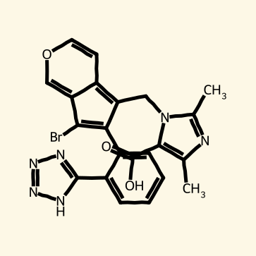 Cc1nc(C)n(Cc2c3ccocc-3c(Br)c2-c2ccccc2-c2nnn[nH]2)c1C(=O)O